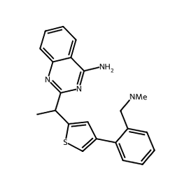 CNCc1ccccc1-c1csc(C(C)c2nc(N)c3ccccc3n2)c1